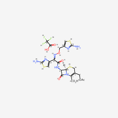 CC(=O)OCC1=C(C(=O)O)N2C(=O)[C@@H](NC(=O)/C(=N\OCc3csc(N)n3)c3csc(N)n3)[C@H]2SC1.O=C(O)C(F)(F)F